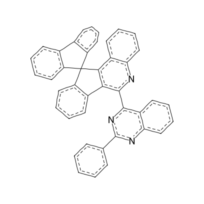 c1ccc(-c2nc(-c3nc4ccccc4c4c3-c3ccccc3C43c4ccccc4-c4ccccc43)c3ccccc3n2)cc1